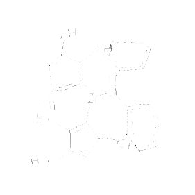 CC1=CC(C)[C]([Zr]([C]2=C(C)C=C(C)C2C)[SiH](c2ccccc2)c2ccccc2)=C1C